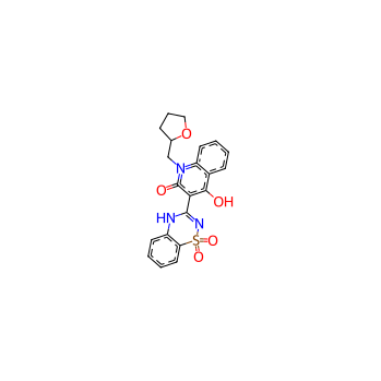 O=c1c(C2=NS(=O)(=O)c3ccccc3N2)c(O)c2ccccc2n1CC1CCCO1